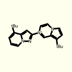 CC(C)(C)c1ccn2cc[n+](-c3cc4c(C(C)(C)C)cccn4n3)cc12